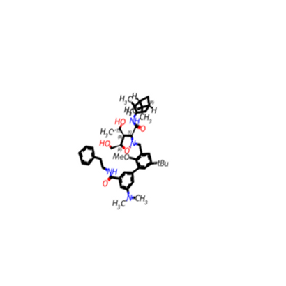 COc1c(CN2O[C@@H](CO)[C@@H]([C@H](C)O)[C@H]2C(=O)NC2C[C@H]3C[C@@H]([C@@H]2C)C3(C)C)cc(C(C)(C)C)cc1-c1cc(C(=O)NCCc2ccccc2)cc(N(C)C)c1